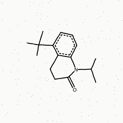 CC(C)N1C(=O)CCc2c1cccc2C(C)(C)C